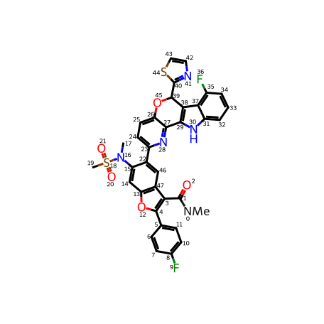 CNC(=O)c1c(-c2ccc(F)cc2)oc2cc(N(C)S(C)(=O)=O)c(-c3ccc4c(n3)-c3[nH]c5cccc(F)c5c3C(c3nccs3)O4)cc12